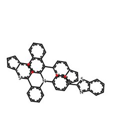 c1cc2ccc(-c3ccccc3N(c3ccc(-c4nc5ccccc5s4)cc3)c3ccc4ccccc4c3-c3ccc4cccc-4s3)sc-2c1